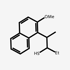 CCC(S)C(C)c1c(OC)ccc2ccccc12